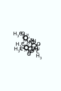 CCOC(=O)c1nnn(Cc2ccc(OC)cc2)c1C(O)c1cc(C)c(C)cc1[N+](=O)[O-]